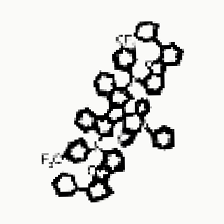 FC(F)(F)c1ccc(N(c2cc3c(c4ccccc24)-c2c(cc(N(c4ccc(C(F)(F)F)cc4)c4cccc5c4oc4c(C6CCCCC6)cccc45)c4ccccc24)C32c3ccccc3N(c3ccccc3)c3ccccc32)c2cccc3c2oc2c(C4CCCCC4)cccc23)cc1